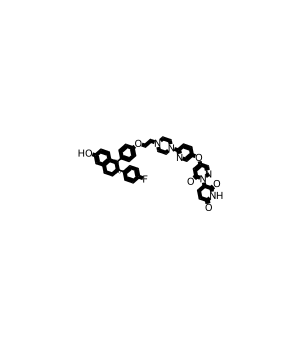 O=C1CCC(n2ncc(Oc3ccc(N4CCN(CCOc5ccc([C@@H]6c7ccc(O)cc7CC[C@@H]6c6ccc(F)cc6)cc5)CC4)nc3)cc2=O)C(=O)N1